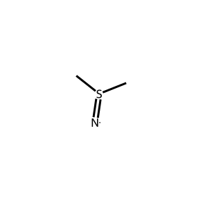 CS(C)=[N]